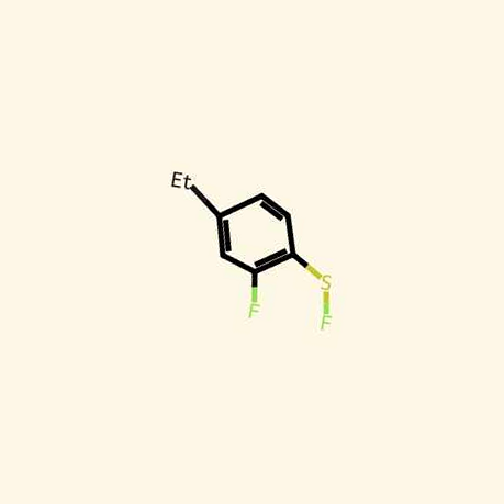 CCc1ccc(SF)c(F)c1